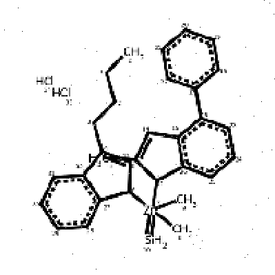 CCCCC1=C[CH]([Zr]([CH3])([CH3])(=[SiH2])[CH]2C(C)=Cc3c(-c4ccccc4)cccc32)c2ccccc21.Cl.Cl